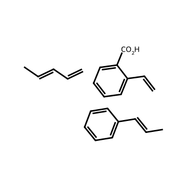 C=CC=CC.C=Cc1ccccc1C(=O)O.CC=Cc1ccccc1